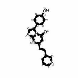 O=c1cc(/C=C/c2cccnc2)nc2scc(-c3ccc(O)cc3)n12